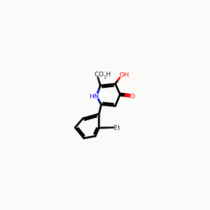 CCc1ccccc1-c1cc(=O)c(O)c(C(=O)O)[nH]1